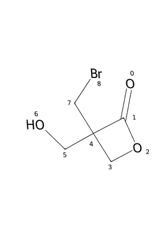 O=C1OCC1(CO)CBr